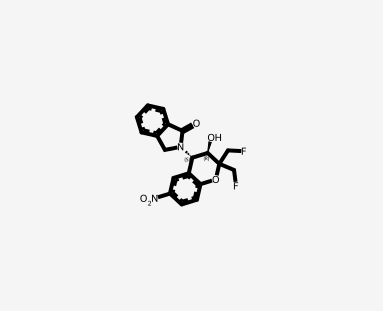 O=C1c2ccccc2CN1[C@H]1c2cc([N+](=O)[O-])ccc2OC(CF)(CF)[C@@H]1O